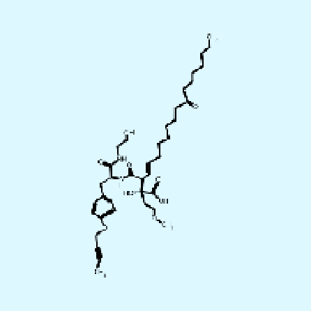 CC#CCOc1ccc(C[C@H](NC(=O)[C@@H](/C=C/CCCCCCC(=O)CCCCCCC)[C@@](O)(CCOC)C(=O)O)C(=O)NCCO)cc1